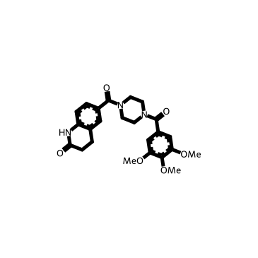 COc1cc(C(=O)N2CCN(C(=O)c3ccc4c(c3)CCC(=O)N4)CC2)cc(OC)c1OC